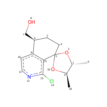 C[C@H]1OC2(CC[C@H](CO)c3ccnc(Cl)c32)O[C@@H]1C